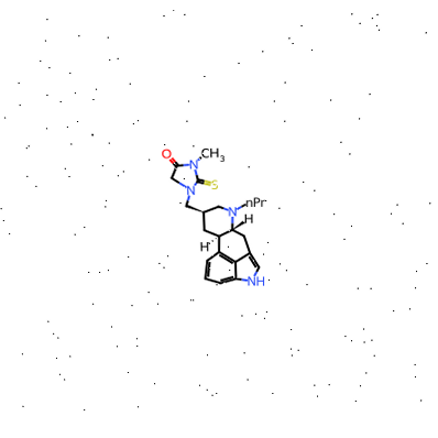 CCCN1C[C@H](CN2CC(=O)N(C)C2=S)C[C@@H]2c3cccc4[nH]cc(c34)C[C@H]21